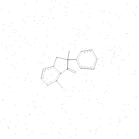 Cc1cccc2c1C(=O)C(Br)(c1ccccc1)C2